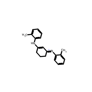 Cc1ccccc1/N=C1/C=C(Nc2ccccc2C)CCC1